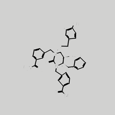 NC(=O)c1cccc(CN2C(=O)N(Cc3cccc(C(N)=O)c3)[C@H](Cc3ccccc3)[C@H](O)[C@H]2CCc2ccc(O)cc2)c1